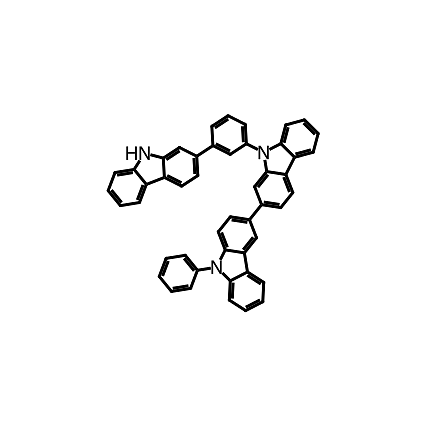 c1ccc(-n2c3ccccc3c3cc(-c4ccc5c6ccccc6n(-c6cccc(-c7ccc8c(c7)[nH]c7ccccc78)c6)c5c4)ccc32)cc1